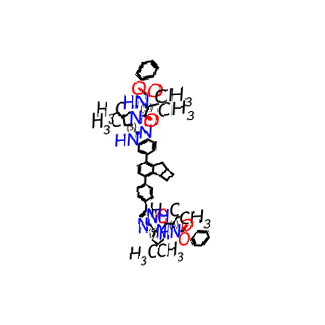 CC(C)[C@H](NC(=O)Oc1ccccc1)C(=O)N1CC(C)(C)C[C@H]1c1ncc(-c2ccc(-c3ccc(-c4ccc5nc([C@@H]6CC(C)(C)CN6C(=O)[C@@H](NC(=O)Oc6ccccc6)C(C)C)[nH]c5c4)c4c3C3CCC3C4)cc2)[nH]1